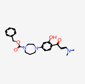 CN(C)C=CC(=O)c1ccc(N2CCCN(C(=O)OCc3ccccc3)CC2)cc1O